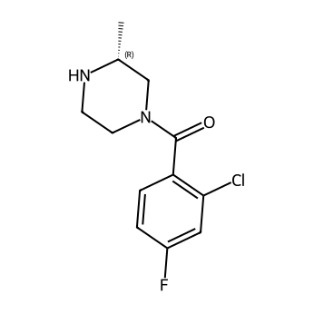 C[C@@H]1CN(C(=O)c2ccc(F)cc2Cl)CCN1